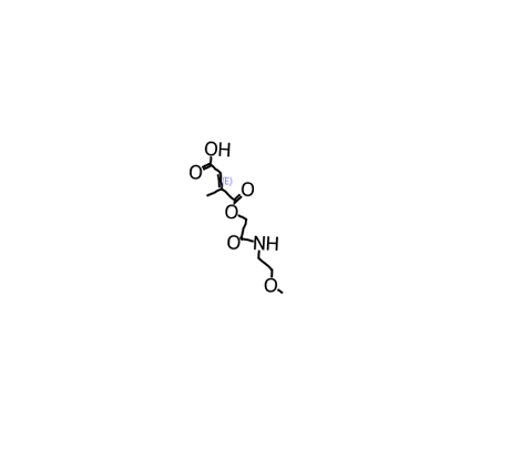 COCCNC(=O)COC(=O)/C(C)=C/C(=O)O